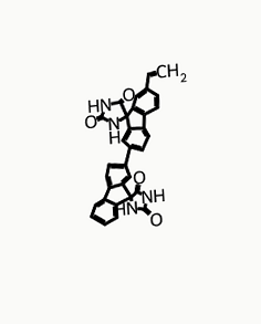 C=Cc1ccc2c(c1)C1(NC(=O)NC1=O)c1cc(-c3ccc4c(c3)C3(NC(=O)NC3=O)c3ccccc3-4)ccc1-2